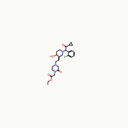 CCOC(=O)CN1CCN(CC=C2CN(C(C(=O)C3CC3)c3ccccc3F)CCC2O)CC1=O